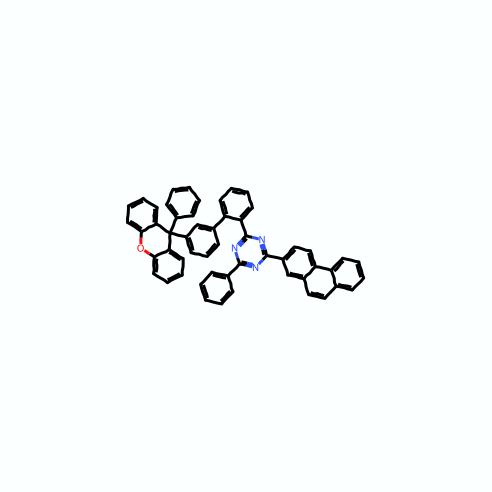 c1ccc(-c2nc(-c3ccc4c(ccc5ccccc54)c3)nc(-c3ccccc3-c3cccc(C4(c5ccccc5)c5ccccc5Oc5ccccc54)c3)n2)cc1